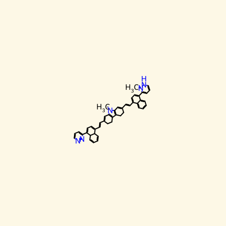 CN1NC=CC=C1c1ccc(/C=C/C2=Cc3c(c4c(n3C)C=C(/C=C/C3=CC=C(c5cccnn5)C5C=CC=CC35)CC4)CC2)c2ccccc12